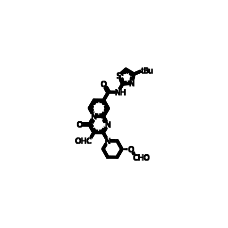 CC(C)(C)c1csc(NC(=O)c2ccn3c(=O)c(C=O)c(N4CCC[C@@H](OC=O)C4)nc3c2)n1